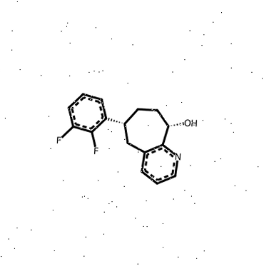 O[C@H]1CC[C@@H](c2cccc(F)c2F)Cc2cccnc21